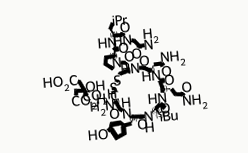 CC[C@H](C)[C@@H]1NC(=O)[C@H](Cc2ccc(O)cc2)NC(=O)[C@@H](N)CSSC[C@@H](C(=O)N2CCC[C@H]2C(=O)N[C@@H](CC(C)C)C(=O)NCC(N)=O)NC(=O)[C@H](CC(N)=O)NC(=O)[C@H](CCC(N)=O)NC1=O.O=C(O)CC(O)(CC(=O)O)C(=O)O